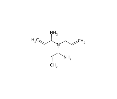 C=CCN(C(N)C=C)C(N)C=C